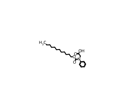 CCCCCCCCCCCCOC(=O)N(CC(=O)O)c1ccccc1